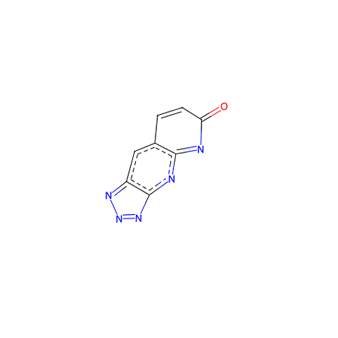 O=C1C=Cc2cc3c(nc2=N1)N=NN=3